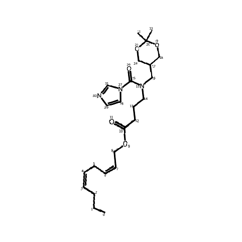 CCC/C=C\C/C=C\COC(=O)CCCN(CC1COC(C)(C)OC1)C(=O)n1ccnc1